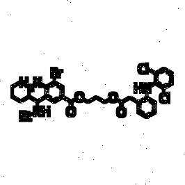 CCNC(c1cc(C(=O)OCCCOC(=O)Cc2ccccc2Nc2c(Cl)cccc2Cl)cc(Br)c1N)C1CCCCC1